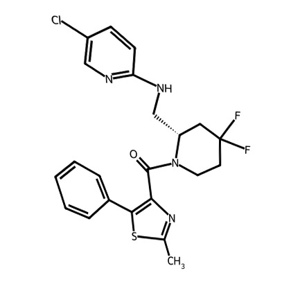 Cc1nc(C(=O)N2CCC(F)(F)C[C@H]2CNc2ccc(Cl)cn2)c(-c2ccccc2)s1